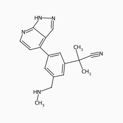 CNCc1cc(-c2ccnc3[nH]ncc23)cc(C(C)(C)C#N)c1